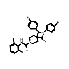 Cc1cccc(C)c1NC(=O)N1CCC2(CC1)C(=O)N(c1ccc(F)cc1)C2c1ccc(F)cc1